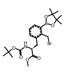 COC(=O)[C@H](Cc1cccc(B2OC(C)(C)C(C)(C)O2)c1CBr)NC(=O)OC(C)(C)C